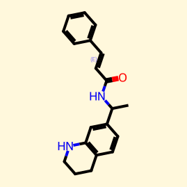 CC(NC(=O)/C=C/c1ccccc1)c1ccc2c(c1)NCCC2